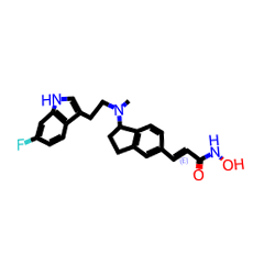 CN(CCc1c[nH]c2cc(F)ccc12)C1CCc2cc(/C=C/C(=O)NO)ccc21